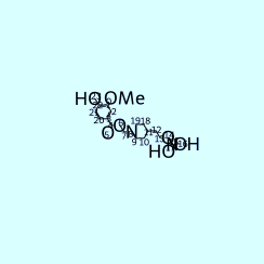 COc1cc(C(=O)OCN2CCC(CCON(O)O)CC2)ccc1O